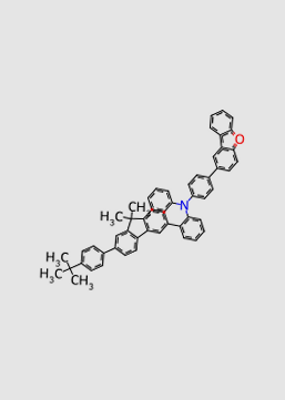 CC(C)(C)c1ccc(-c2ccc3c(c2)C(C)(C)c2ccc(-c4ccccc4N(c4ccccc4)c4ccc(-c5ccc6oc7ccccc7c6c5)cc4)cc2-3)cc1